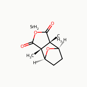 C[C@@]12C(=O)OC(=O)[C@]1(C)[C@H]1CC[C@@H]2O1.[SrH2]